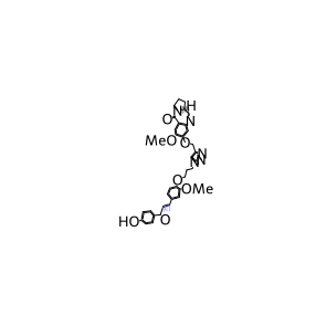 COc1cc(/C=C/C(=O)c2ccc(O)cc2)ccc1OCCCn1cc(COc2cc3c(cc2OC)C(=O)N2CCC[C@H]2C=N3)nn1